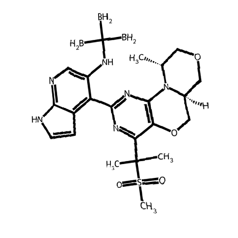 BC(B)(B)Nc1cnc2[nH]ccc2c1-c1nc2c(c(C(C)(C)S(C)(=O)=O)n1)OC[C@@H]1COC[C@@H](C)N21